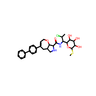 CSC1OC(C(NC(=O)C2NCC3CC(c4ccc(-c5ccccc5)cc4)=CCOC32)C(C)Cl)C(O)C(O)C1O